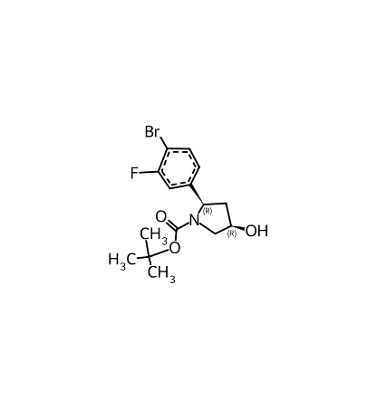 CC(C)(C)OC(=O)N1C[C@H](O)C[C@@H]1c1ccc(Br)c(F)c1